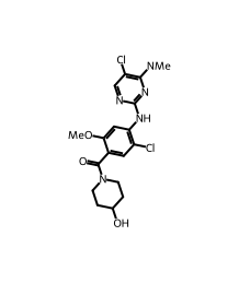 CNc1nc(Nc2cc(OC)c(C(=O)N3CCC(O)CC3)cc2Cl)ncc1Cl